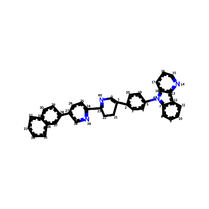 C1=C(c2ccc(-n3c4ccccc4c4ncccc43)cc2)CCC(c2ccc(-c3ccc4ccccc4c3)cn2)=N1